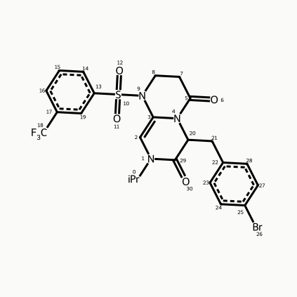 CC(C)N1C=C2N(C(=O)CCN2S(=O)(=O)c2cccc(C(F)(F)F)c2)C(Cc2ccc(Br)cc2)C1=O